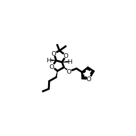 CCCC[C@H]1O[C@@H]2OC(C)(C)O[C@@H]2[C@H]1OCc1ccoc1